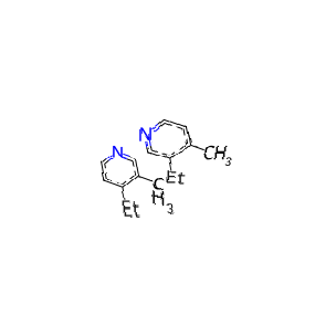 CCc1ccncc1C.CCc1cnccc1C